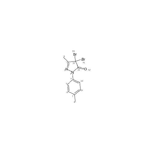 CC1=NN(c2ccc(C)cc2)C(=O)C1(Br)Br